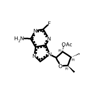 CC(=O)O[C@H]1C(n2cnc3c(N)nc(F)nc32)O[C@H](C)[C@H]1C